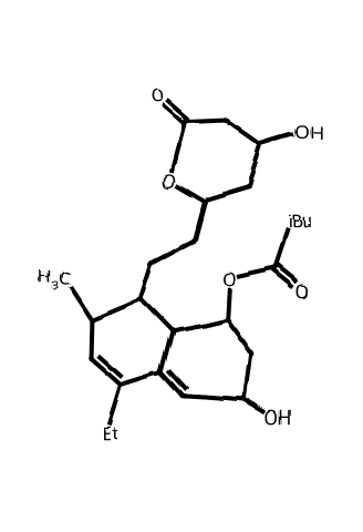 CCC1=CC(C)C(CCC2CC(O)CC(=O)O2)C2C1=CC(O)CC2OC(=O)C(C)CC